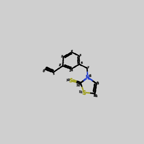 C=Cc1cccc(Cn2ccsc2=S)c1